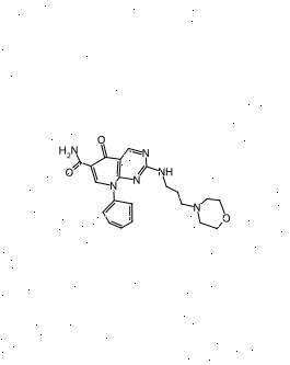 NC(=O)c1cn(-c2ccccc2)c2nc(NCCCN3CCOCC3)ncc2c1=O